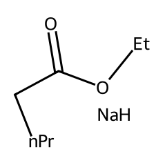 CCCCC(=O)OCC.[NaH]